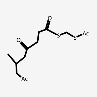 CC(=O)CC(C)CC(=O)CCC(=O)SCSC(C)=O